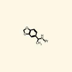 CC(C)NC(C)c1ccc2c(c1)OCO2